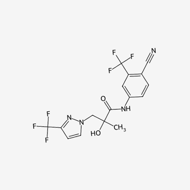 CC(O)(Cn1ccc(C(F)(F)F)n1)C(=O)Nc1ccc(C#N)c(C(F)(F)F)c1